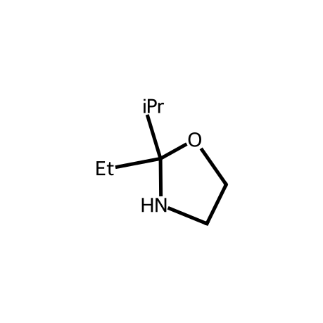 CCC1(C(C)C)NCCO1